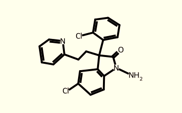 NN1C(=O)C(CCc2ccccn2)(c2ccccc2Cl)c2cc(Cl)ccc21